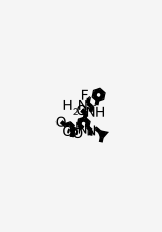 COCCN(c1cc(C(=O)N[C@@H](Cc2ccccc2)C(N)CF)cc(N(C)CC2CC2C)n1)S(C)(=O)=O